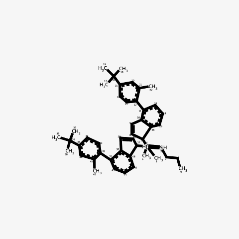 CCC[SiH]=[Hf]([CH3])([CH3])([CH]1C=Cc2c(-c3ccc(C(C)(C)C)cc3C)cccc21)[CH]1C=Cc2c(-c3ccc(C(C)(C)C)cc3C)cccc21